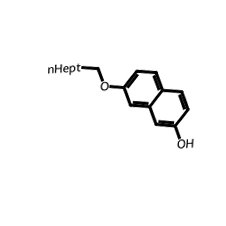 CCCCCCCCOc1ccc2ccc(O)cc2c1